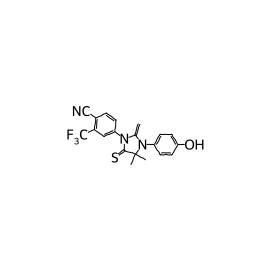 C=C1N(c2ccc(C#N)c(C(F)(F)F)c2)C(=S)C(C)(C)N1c1ccc(O)cc1